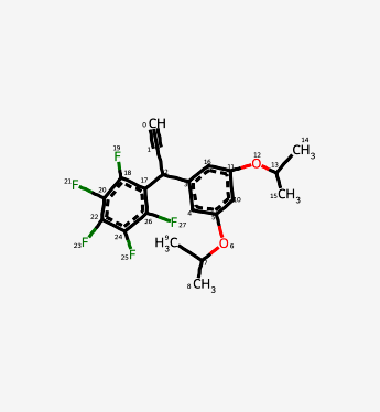 C#CC(c1cc(OC(C)C)cc(OC(C)C)c1)c1c(F)c(F)c(F)c(F)c1F